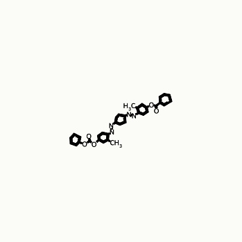 Cc1cc(OC(=O)Oc2ccccc2)ccc1N=Nc1ccc(N=Nc2ccc(OC(=O)c3ccccc3)cc2C)cc1